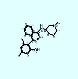 Cc1cc(C)c(-c2nnc(NC3CCCN(C)C3)c3ccccc23)c(O)c1